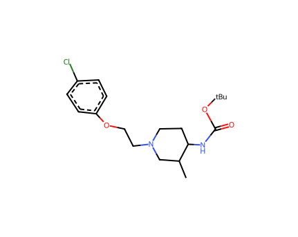 CC1CN(CCOc2ccc(Cl)cc2)CCC1NC(=O)OC(C)(C)C